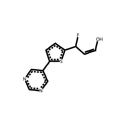 O/C=C\C(F)c1ccc(-c2cncnc2)s1